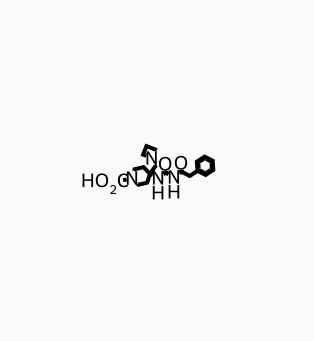 O=C(Cc1ccccc1)NC(=O)NC1(CN2CCC2)CCN(C(=O)O)CC1